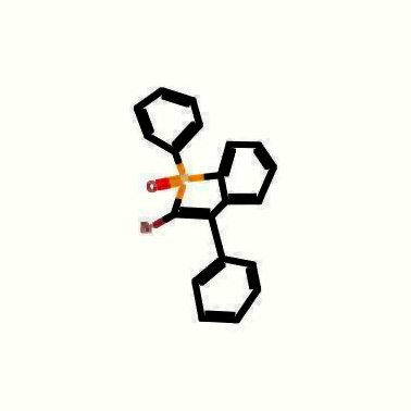 O=P1(c2ccccc2)C(Br)=C(c2ccccc2)c2ccccc21